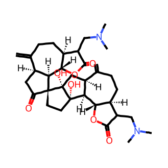 C=C1CC[C@H]2C(CN(C)C)C(=O)O[C@@H]2[C@@H]2[C@H]1C[C@@]1(O)[C@]2(O)CC[C@]12C(=O)C[C@H]1C(=C)CC[C@H]3C(CN(C)C)C(=O)O[C@@H]3[C@H]12